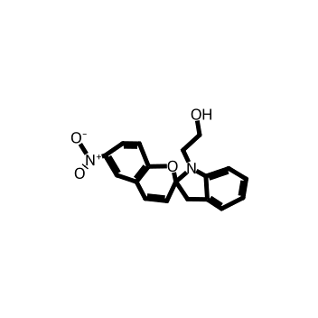 O=[N+]([O-])c1ccc2c(c1)C=CC1(Cc3ccccc3N1CCO)O2